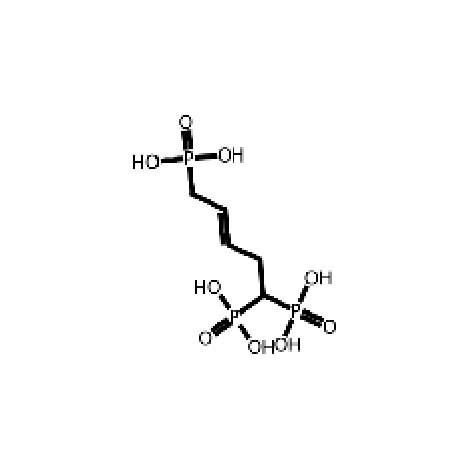 O=P(O)(O)CC=CCC(P(=O)(O)O)P(=O)(O)O